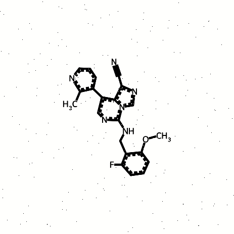 COc1cccc(F)c1CNc1ncc(-c2cccnc2C)c2c(C#N)ncn12